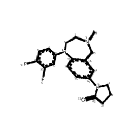 CN1CCN(c2ccc(F)c(F)c2)c2ccc(N3CCCC3=O)cc2C1